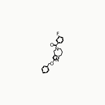 O=C(c1cccc(F)c1)N1CCCn2nc(OCc3ccccc3)cc2C1